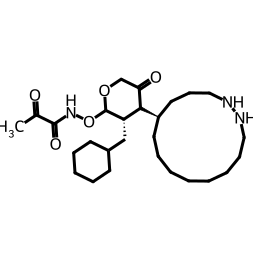 CC(=O)C(=O)NOC1OCC(=O)C([C@@H]2CCCCCCCCNNCCC2)[C@@H]1CC1CCCCC1